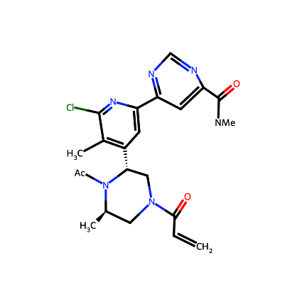 C=CC(=O)N1C[C@@H](C)N(C(C)=O)[C@H](c2cc(-c3cc(C(=O)NC)ncn3)nc(Cl)c2C)C1